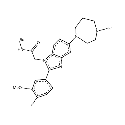 COc1cc(-c2nc3cc(N4CCCN(C(C)C)CC4)ccc3n2CC(=O)NC(C)(C)C)ccc1F